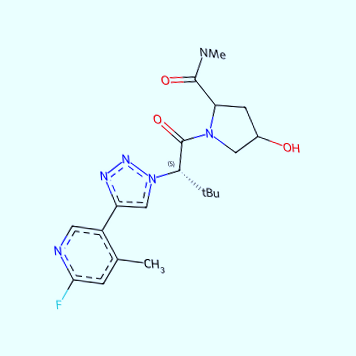 CNC(=O)C1CC(O)CN1C(=O)[C@@H](n1cc(-c2cnc(F)cc2C)nn1)C(C)(C)C